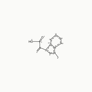 C=C(C(=O)O)c1cn(C)c2ccccc12